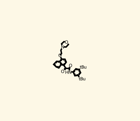 CC(C)(C)c1cc(NC(=O)C(=O)c2ccc(OCCN3CCOCC3)c3ccccc23)cc(C(C)(C)C)c1